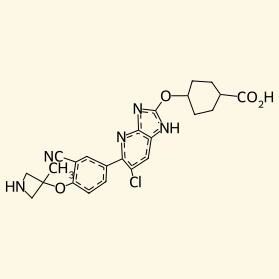 CC1(Oc2ccc(-c3nc4nc(OC5CCC(C(=O)O)CC5)[nH]c4cc3Cl)cc2C#N)CNC1